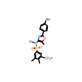 CCN(c1nc(-c2ccc(C(C)(C)C)cc2)oc1C)S(=O)(=O)c1cc(C)c(C)c(C(=O)O)c1